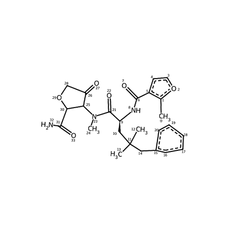 Cc1occc1C(=O)N[C@@H](CC(C)(C)Cc1ccccc1)C(=O)N(C)C1C(=O)COC1C(N)=O